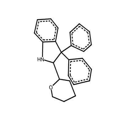 c1ccc(C2(c3ccccc3)c3ccccc3NC2C2CCCCO2)cc1